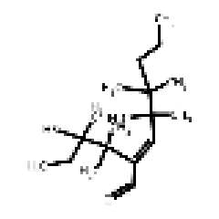 CCCC(C)(C)C(C)(C)/C=C(/C=O)C(C)(C)C(C)(S)CC